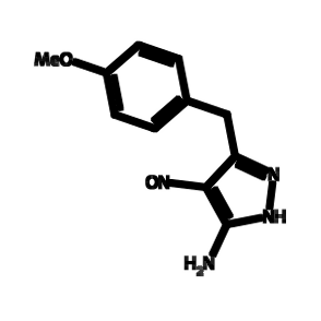 COc1ccc(Cc2n[nH]c(N)c2N=O)cc1